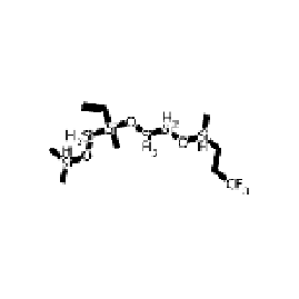 C=C[Si](C)(O[SiH2][SiH2]O[SiH](C)CCC(F)(F)F)[SiH2]O[SiH](C)C